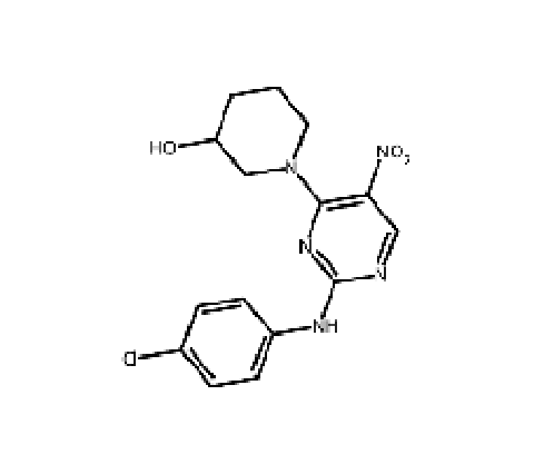 O=[N+]([O-])c1cnc(Nc2ccc(Cl)cc2)nc1N1CCCC(O)C1